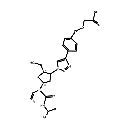 C=CN(C(=O)NC(C)Br)[C@@H]1CC(n2cc(-c3ccc(NOCC(N)=O)cc3)nn2)[C@H](CO)O1